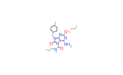 CCCSOc1nc(N)c2c(n1)n(Cc1ccc(C)cc1)c(=O)n2C(=O)N(C)CCC